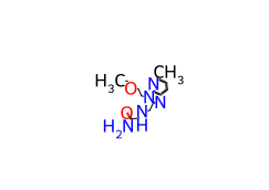 CCOCCn1c(CNCC(N)=O)nc2ccc(C)nc21